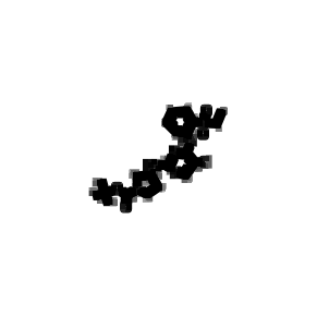 CCS(=O)(=O)c1ccccc1Nc1nc(N[C@@H]2CCN(C(=O)OC(C)(C)C)C2)ncc1Cl